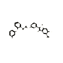 Cn1c(-c2cccc(NC(=O)C(=O)c3ccccc3Nc3cccc(I)c3)c2)c(I)c2cc(C(=O)O)c(O)cc21